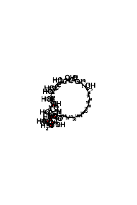 C[C@@H]1[C@H](O)[C@@H](C)/C=C/C=C/C=C/C=C/C=C/C=C/C=C/[C@H](O[C@@H]2O[C@H](C)[C@@H](O)[C@H](N)[C@@H]2O)C[C@@H]2O[C@](O)(C[C@@H](O)C[C@@H](O)[C@H](O)CC[C@@H](O)C[C@@H](O)CC(=O)O[C@H]1C)C[C@H](O)[C@H]2C(=O)N[C@H]1COC[C@@H]1O